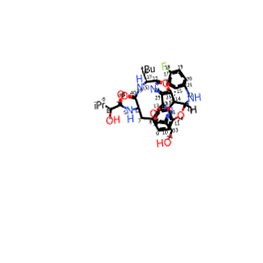 CC(C)[C@H](O)C(=O)NC1Cc2ccc3c(c2)[C@@]2(c4cc(F)ccc4N[C@@H]2O3)c2oc(nc2-c2nc(CO)co2)[C@H](C(C)(C)C)NC1=O